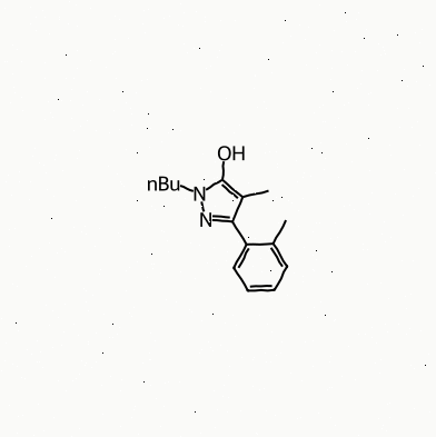 CCCCn1nc(-c2ccccc2C)c(C)c1O